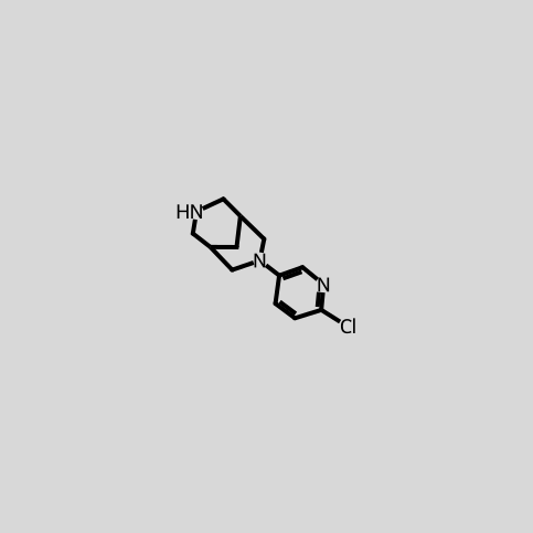 Clc1ccc(N2CC3CNCC(C3)C2)cn1